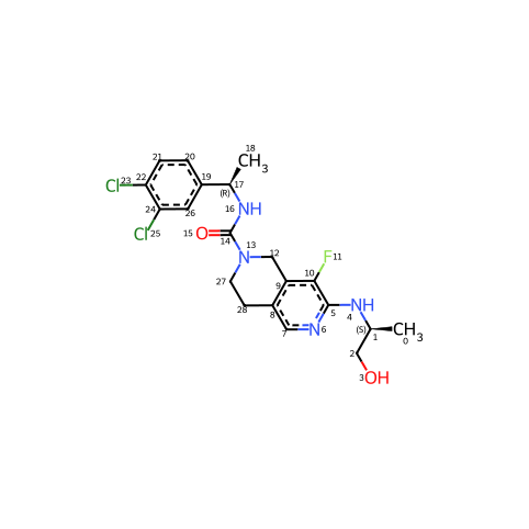 C[C@@H](CO)Nc1ncc2c(c1F)CN(C(=O)N[C@H](C)c1ccc(Cl)c(Cl)c1)CC2